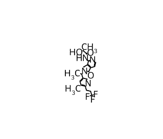 Cc1cc(C(C)N2Cc3c(ccnc3NC(=O)[C@@H](C)O)C2=O)cnc1CCC(F)(F)F